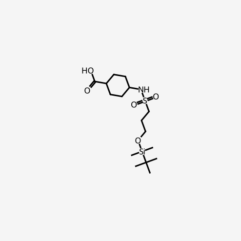 CC(C)(C)[Si](C)(C)OCCCS(=O)(=O)NC1CCC(C(=O)O)CC1